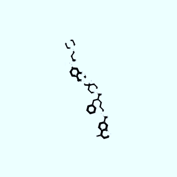 O=C(CCN1CCOCC1)Nc1ccc2c(=O)n(CC3(O)CCN(C(=O)C(CCCNC(=O)c4ccc5c(Cl)ccnc5c4)Cc4ccccc4)CC3)cnc2c1